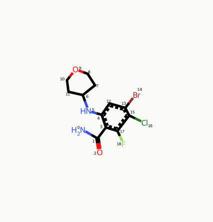 NC(=O)c1c(NC2CCOCC2)cc(Br)c(Cl)c1F